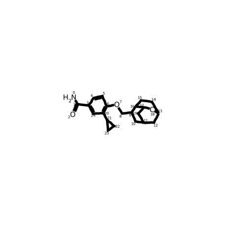 NC(=O)c1ccc(OCC2CC3CC4CCC2C(C4)C3)c(C2CC2)c1